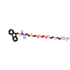 O=C(O)CCOCCOOCCOOCCOCCNC(=O)OCC1c2ccccc2-c2ccccc21